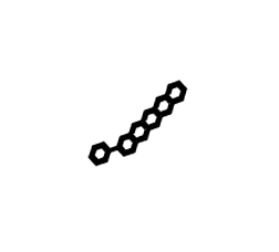 c1ccc(-c2ccc3cc4cc5cc6ccccc6cc5cc4cc3c2)cc1